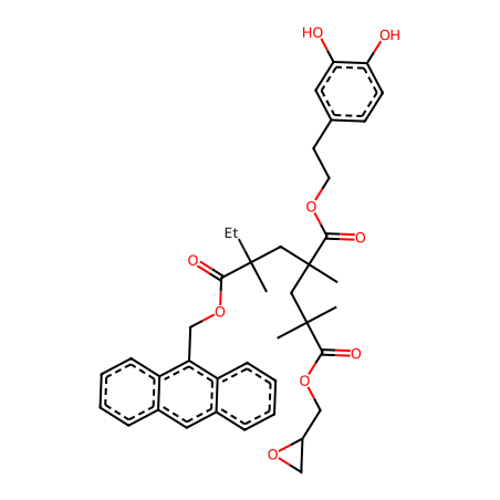 CCC(C)(CC(C)(CC(C)(C)C(=O)OCC1CO1)C(=O)OCCc1ccc(O)c(O)c1)C(=O)OCc1c2ccccc2cc2ccccc12